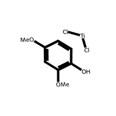 COc1ccc(O)c(OC)c1.[Cl][Ti][Cl]